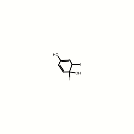 OC1=CC(I)C(O)(I)C=C1